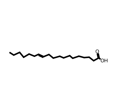 CCCCCC/C=C/CCCCCCCCCCC(=O)O